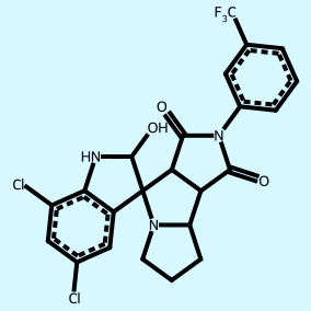 O=C1C2C3CCCN3C3(c4cc(Cl)cc(Cl)c4NC3O)C2C(=O)N1c1cccc(C(F)(F)F)c1